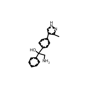 Cc1n[nH]cc1-c1ccc(C(O)(CN)c2ccccc2)cc1